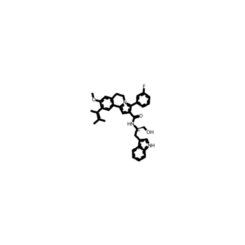 COc1cc2c(cc1C(C)=C(C)C)-c1cc(C(=O)N[C@@H](CO)Cc3c[nH]c4ccccc34)c(-c3cccc(F)c3)n1CC2